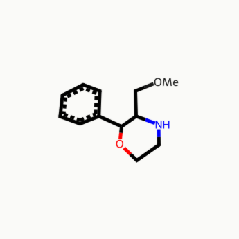 COCC1NCCOC1c1ccccc1